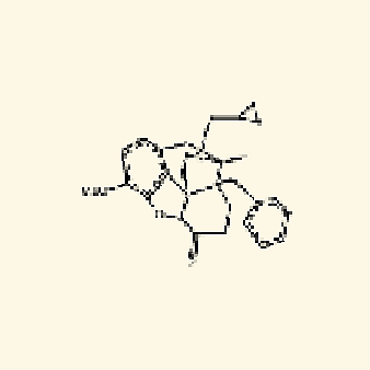 COc1ccc2c3c1OC1C(=O)CC[C@@]4(Cc5ccccc5)[C@@H](C2)N(CC2CC2)CC[C@]314